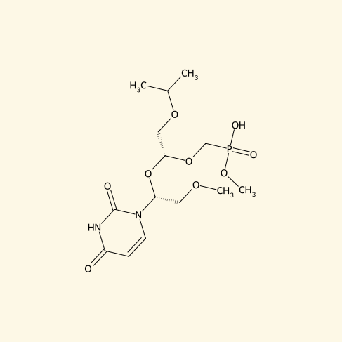 COC[C@@H](O[C@H](COC(C)C)OCP(=O)(O)OC)n1ccc(=O)[nH]c1=O